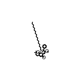 CCCCCCCCCCCCCCCCCCn1c(-c2ccccc2)c(OC)cc2c(=O)cc3c(c1-2)OC(C)(C)C=C3